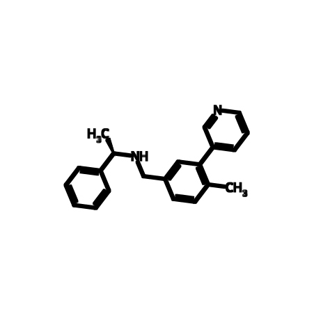 Cc1ccc(CN[C@H](C)c2ccccc2)cc1-c1cccnc1